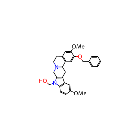 COc1ccc2c(c1)c1c(n2CO)CN2CCc3cc(OC)c(OCc4ccccc4)cc3C2C1